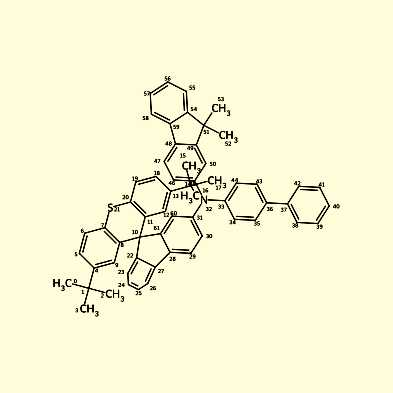 CC(C)(C)c1ccc2c(c1)C1(c3cc(C(C)(C)C)ccc3S2)c2ccccc2-c2ccc(N(c3ccc(-c4ccccc4)cc3)c3ccc4c(c3)C(C)(C)c3ccccc3-4)cc21